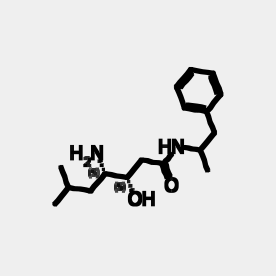 CC(C)C[C@H](N)[C@@H](O)CC(=O)NC(C)Cc1ccccc1